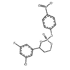 O=[N+]([O-])c1ccc(OP2(=O)OCCC(c3cc(F)cc(Cl)c3)O2)cc1